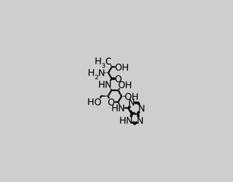 C[C@H](O)[C@@H](N)C(=O)N[C@@H]1[C@@H](O)[C@H](O)[C@@H](Nc2ncnc3nc[nH]c23)O[C@H]1CO